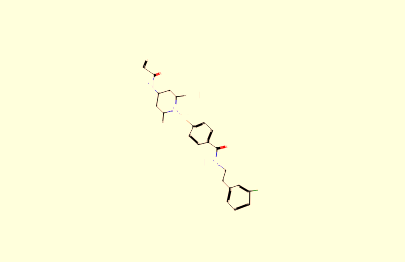 C=CC(=O)NC1CC(C)N(S(=O)(=O)c2ccc(C(=O)NCCc3cccc(Cl)c3)cc2)C(C)C1